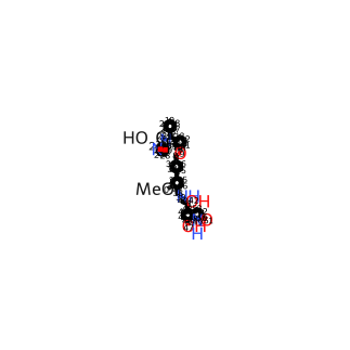 COc1cc(-c2ccc(COc3cccc([C@H](c4ccccc4)N(C(=O)O)[C@H]4CN5CCC4CC5)c3)cc2)ccc1CNC[C@H](O)c1ccc(O)c2[nH]c(=O)ccc12